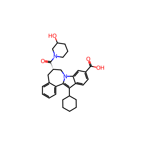 O=C(O)c1ccc2c(C3CCCCC3)c3n(c2c1)C[C@@H](C(=O)N1CCCC(O)C1)Cc1ccccc1-3